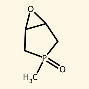 CP1(=O)CC2OC2C1